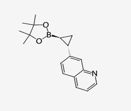 CC1(C)OB([C@H]2C[C@@H]2c2ccc3cccnc3c2)OC1(C)C